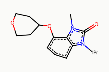 CC(C)n1c(=O)n(C)c2c(OC3CCOCC3)cccc21